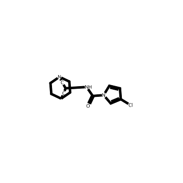 O=C(NC1CC2CCN(CC2)C1)n1ccc(Cl)c1